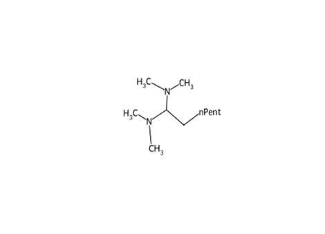 CCCCCCC(N(C)C)N(C)C